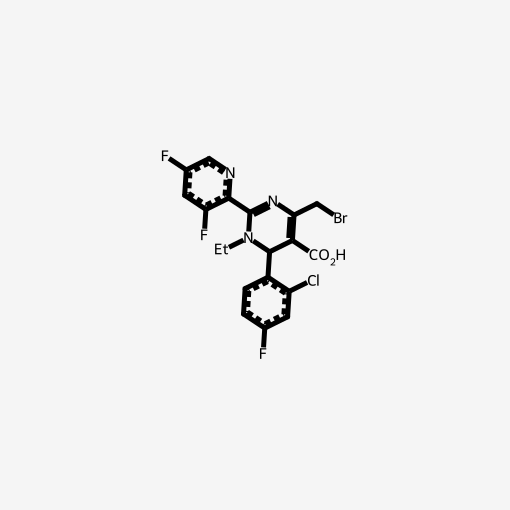 CCN1C(c2ncc(F)cc2F)=NC(CBr)=C(C(=O)O)C1c1ccc(F)cc1Cl